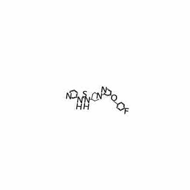 Fc1ccc(COc2ccnc(N3CCC(NC(=S)Nc4cccnc4)CC3)c2)cc1